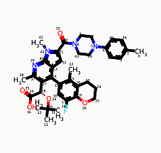 Cc1ccc(N2CCN(C(=O)c3cc4c(-c5cc(F)c6c(c5C)CCCO6)c([C@H](OC(C)(C)C)C(=O)O)c(C)nc4n3C)CC2)cc1